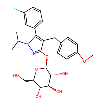 COc1ccc(Cc2c(O[C@@H]3O[C@H](CO)[C@@H](O)[C@H](O)[C@H]3O)nn(C(C)C)c2-c2cccc(F)c2)cc1